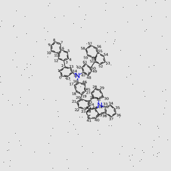 c1cc(-c2ccc3ccccc3c2)cc(N(c2ccc(-c3ccccc3-c3ccccc3-n3c4ccccc4c4ccccc43)cc2)c2ccc(-c3cccc4ccccc34)cc2)c1